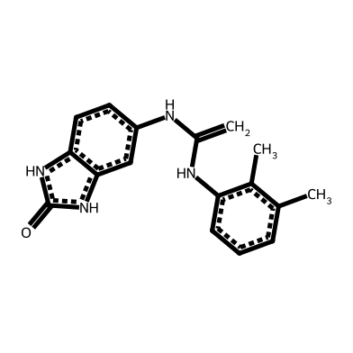 C=C(Nc1ccc2[nH]c(=O)[nH]c2c1)Nc1cccc(C)c1C